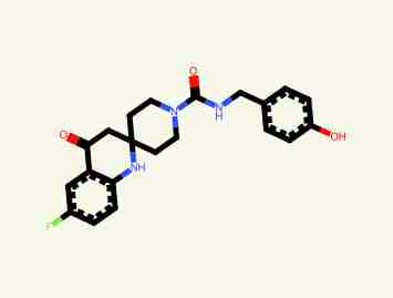 O=C1CC2(CCN(C(=O)NCc3ccc(O)cc3)CC2)Nc2ccc(F)cc21